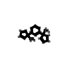 CC1(c2cccc(C3(C)C=CC=C3)c2)C=CC=C1